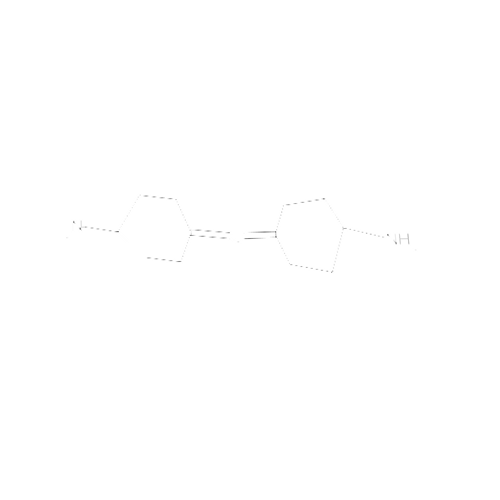 NC1CCC(=C=C2CCC(N)CC2)CC1